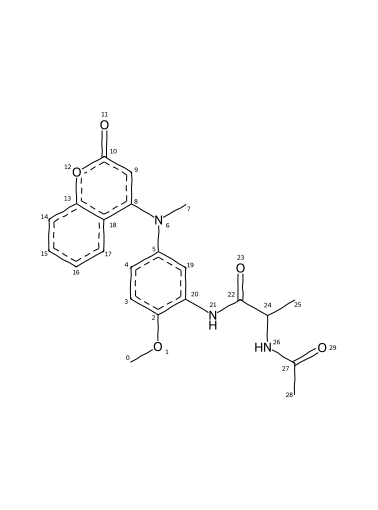 COc1ccc(N(C)c2cc(=O)oc3ccccc23)cc1NC(=O)C(C)NC(C)=O